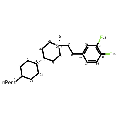 CCCCCC1CCC([C@H]2CC[Si@](C)(CCc3ccc(F)c(F)c3)CC2)CC1